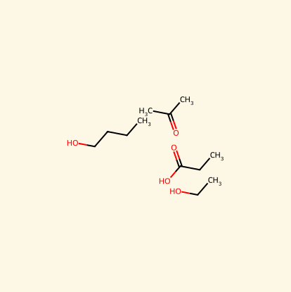 CC(C)=O.CCC(=O)O.CCCCO.CCO